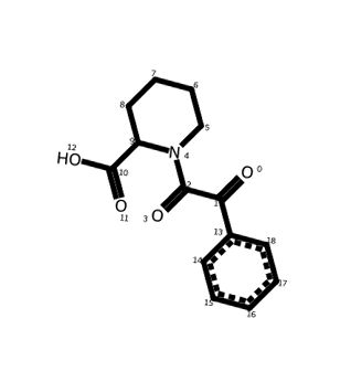 O=C(C(=O)N1CCCCC1C(=O)O)c1ccccc1